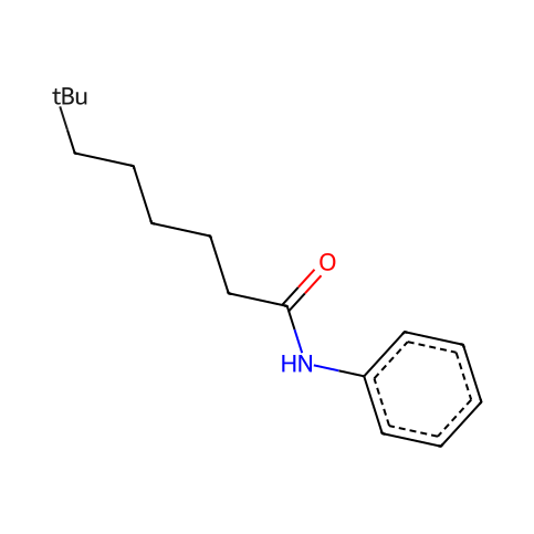 CC(C)(C)CCCCCC(=O)Nc1ccccc1